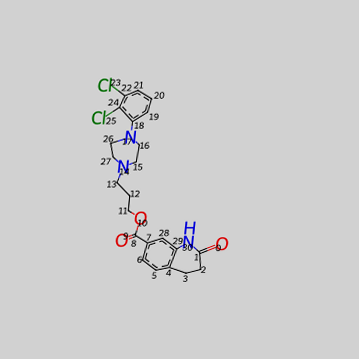 O=C1CCc2ccc(C(=O)OCCCN3CCN(c4cccc(Cl)c4Cl)CC3)cc2N1